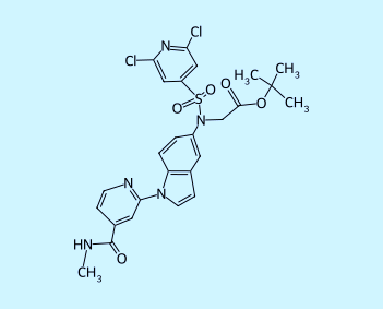 CNC(=O)c1ccnc(-n2ccc3cc(N(CC(=O)OC(C)(C)C)S(=O)(=O)c4cc(Cl)nc(Cl)c4)ccc32)c1